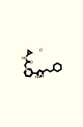 O=C(C[n+]1cccc(-c2cc(CCC3CCCCC3)n[nH]2)c1)NC1CC1.[Cl-]